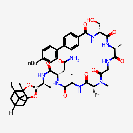 CCCCc1ccc(-c2ccc(C(=O)N[C@H](CO)C(=O)N[C@H](C)C(=O)NCC(=O)N(C)[C@H](C(=O)N[C@@H](C)C(=O)N[C@@H](CC(N)=O)C(=O)N[C@@H](C)B3OC4C[C@@H]5C[C@@H](C5(C)C)[C@]4(C)O3)C(C)C)cc2)cc1